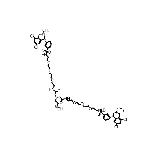 COCCN(CC(=O)NCCOCCOCCOCCNS(=O)(=O)c1cccc([C@@H]2CN(C)Cc3c(Cl)cc(Cl)cc32)c1)CC(=O)NCCOCCOCCOCCNS(=O)(=O)c1cccc([C@@H]2CN(C)Cc3c(Cl)cc(Cl)cc32)c1